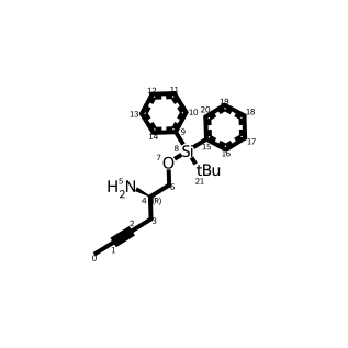 CC#CC[C@@H](N)CO[Si](c1ccccc1)(c1ccccc1)C(C)(C)C